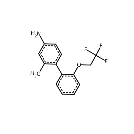 Cc1cc(N)ccc1-c1ccccc1OCC(F)(F)F